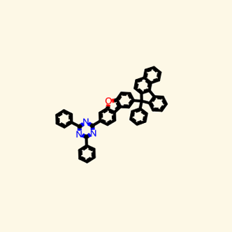 c1ccc(-c2nc(-c3ccccc3)nc(-c3ccc4c(c3)oc3ccc(C5(c6ccccc6)c6ccccc6-c6c5ccc5ccccc65)cc34)n2)cc1